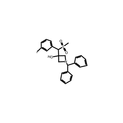 CS(=O)(=O)C(c1cccc(I)c1)C1(O)CN(C(c2ccccc2)c2ccccc2)C1